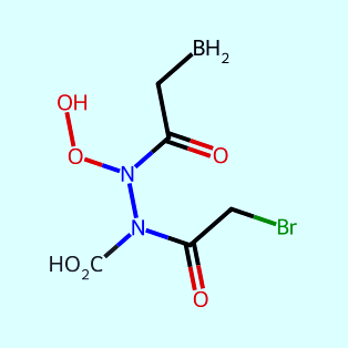 BCC(=O)N(OO)N(C(=O)O)C(=O)CBr